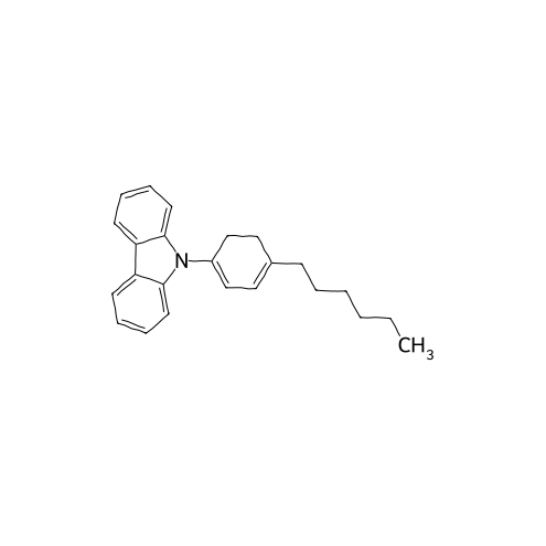 CCCCCCC1=CC=C(n2c3ccccc3c3ccccc32)CC1